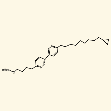 CCCCCCOCCCCc1ccc(-c2ccc(CCCCCCCCCC3CC3)nc2)nn1